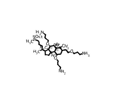 CCCCCCCCN(C)CCCC(C)C1CC[C@H]2C3[C@H](OCCCN)CC(CCOCCCN)[C@](C)(CCC)[C@H]3C[C@H](OCCCN)[C@]12C